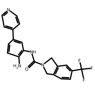 Nc1ccc(-c2ccncc2)cc1NC(=O)N1Cc2ccc(C(F)(F)F)cc2C1